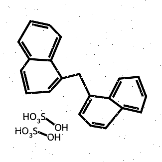 O=S(=O)(O)O.O=S(=O)(O)O.c1ccc2c(Cc3cccc4ccccc34)cccc2c1